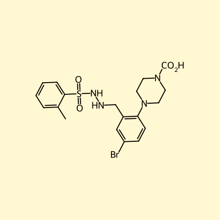 Cc1ccccc1S(=O)(=O)NNCc1cc(Br)ccc1N1CCN(C(=O)O)CC1